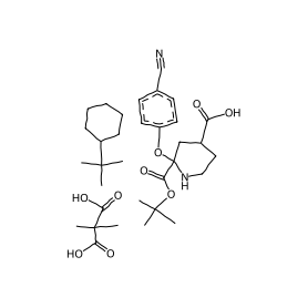 CC(C)(C(=O)O)C(=O)O.CC(C)(C)C1CCCCC1.CC(C)(C)OC(=O)C1(Oc2ccc(C#N)cc2)CC(C(=O)O)CCN1